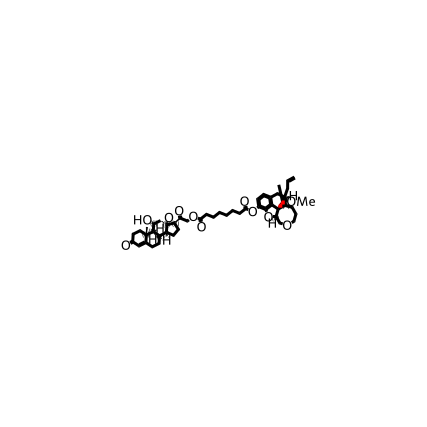 C=CCC1(C)CCCC23c4c5ccc(OC(=O)CCCCCCC(=O)OCC(=O)[C@@]67CC[C@H]8[C@@H]9CCC%10=CC(=O)CC[C@]%10(C)[C@H]9[C@@H](O)C[C@@]86O7)c4O[C@H]2COCCC[C@@]3(OC)[C@H]1C5